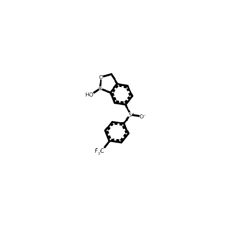 [O-][S+](c1ccc(C(F)(F)F)cc1)c1ccc2c(c1)B(O)OC2